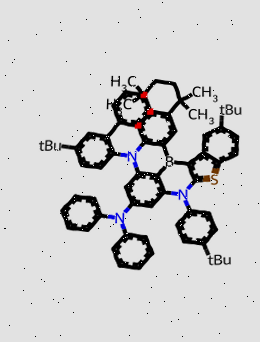 CC(C)(C)c1ccc(N2c3cc(N(c4ccccc4)c4ccccc4)cc4c3B(c3cc5c(cc3N4c3ccc(C(C)(C)C)cc3-c3ccccc3)C(C)(C)CCC5(C)C)c3c2sc2ccc(C(C)(C)C)cc32)cc1